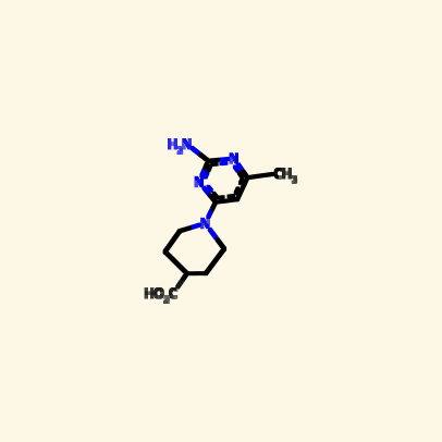 Cc1cc(N2CCC(C(=O)O)CC2)nc(N)n1